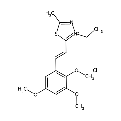 CC[n+]1nc(C)sc1C=Cc1cc(OC)cc(OC)c1OC.[Cl-]